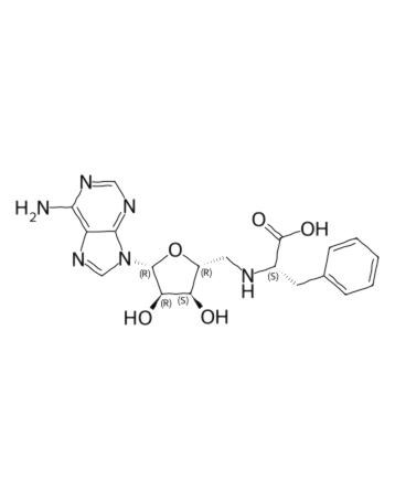 Nc1ncnc2c1ncn2[C@@H]1O[C@H](CN[C@@H](Cc2ccccc2)C(=O)O)[C@@H](O)[C@H]1O